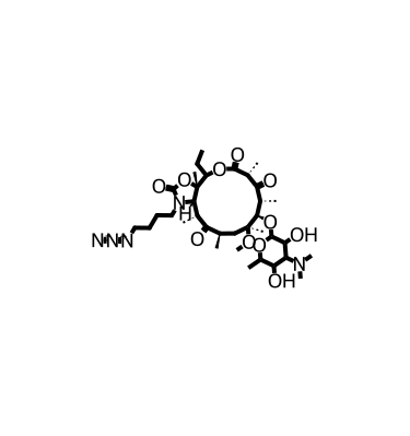 CCC1OC(=O)[C@H](C)C(=O)[C@H](C)[C@@H](OC2OC(C)C(O)C(N(C)C)C2O)[C@@](C)(OC)C[C@@H](C)C(=O)[C@H](C)[C@H]2N(CCCCN=[N+]=[N-])C(=O)O[C@]12C